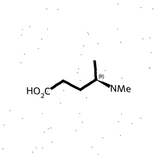 CN[C@H](C)CCC(=O)O